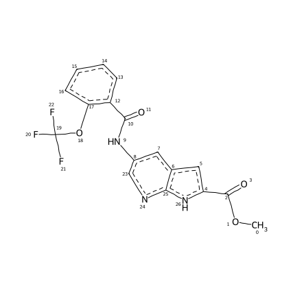 COC(=O)c1cc2cc(NC(=O)c3ccccc3OC(F)(F)F)cnc2[nH]1